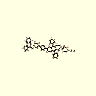 CC(C)(C)c1ccc(-c2ccc3c(-c4ccccc4)c4cc(-c5ccc(-c6ccc7c(c6)nc(-c6ccccc6)n7-c6ccccc6)cc5)ccc4c(-c4ccccc4)c3c2)cc1